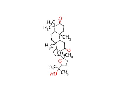 CC(C)(O)C1CC[C@@](C)(C2CC[C@]3(C)C2C(=O)CC2[C@@]4(C)CCC(=O)C(C)(C)C4CC[C@]23C)O1